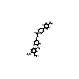 CN(c1ccc([N+](=O)[O-])c(CF)c1)C1CCC(OCC(=O)N2CCN(c3ccc(CF)cc3)CC2)CC1